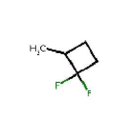 C[C]1CCC1(F)F